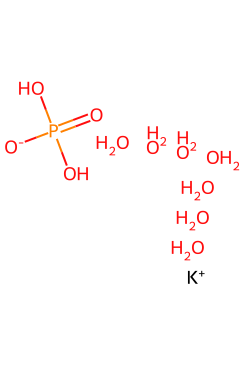 O.O.O.O.O.O.O.O=P([O-])(O)O.[K+]